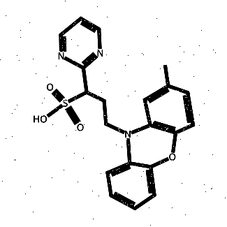 Cc1ccc2c(c1)N(CCC(c1ncccn1)S(=O)(=O)O)c1ccccc1O2